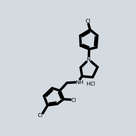 Cl.Clc1ccc(N2CCC(NCc3ccc(Cl)cc3Cl)C2)cc1